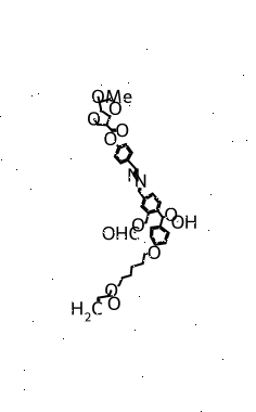 C=CC(=O)OCCCCCCOc1ccc(C(OO)c2ccc(/C=N/N=C/c3ccc(OC(=O)C4COC5C(OC)COC45)cc3)cc2COC=O)cc1